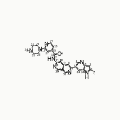 Cc1cc2ncc(-c3cc4cc(NC(=O)c5ccnc(N6CCN(C)CC6)c5)ncc4cn3)cc2[nH]1